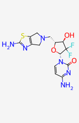 Nc1ccn([C@@H]2O[C@H](CN3Cc4nc(N)sc4C3)[C@@H](O)C2(F)F)c(=O)n1